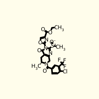 CCOC(=O)c1coc(-n2c([S+](C)[O-])nc3c(c2=O)C[C@@H](C)N(C(=O)c2ccc(Cl)c(C(F)(F)F)c2)C3)n1